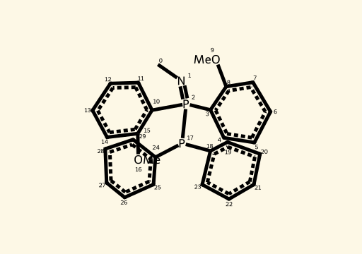 CN=P(c1ccccc1OC)(c1ccccc1OC)P(c1ccccc1)c1ccccc1